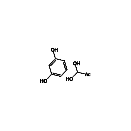 CC(=O)C(O)O.Oc1cccc(O)c1